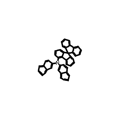 c1ccc2c(c1)-c1ccccc1C21c2ccccc2-c2c(N(c3ccc4ccccc4c3)c3ccc4ccccc4c3)cccc21